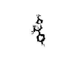 NC(=O)C(CN1CC(O)C1)c1ccc(Cl)cc1